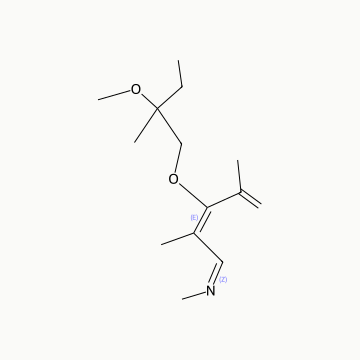 C=C(C)/C(OCC(C)(CC)OC)=C(C)\C=N/C